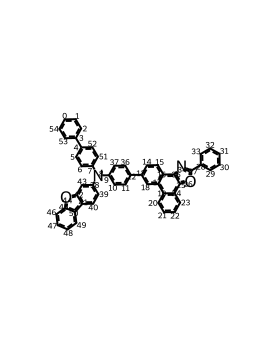 c1ccc(-c2ccc(N(c3ccc(-c4ccc5c(c4)c4ccccc4c4oc(-c6ccccc6)nc54)cc3)c3ccc4c(c3)oc3ccccc34)cc2)cc1